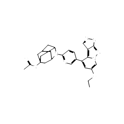 CCOc1cc(-c2ccc(N3C4CC5CC3CC(NC(C)=O)(C5)C4)nc2)c2c3cn[nH]c3nn2c1